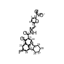 O=C(NN=Cc1ccc([N+](=O)[O-])o1)c1cn2c3c(cc(F)cc3c1=O)C1CCCCC12